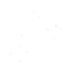 N#CC1(c2cnccn2)CCN(Cc2cc3c(c4ccccc24)CN([C@H]2CCCC[C@@H]2O)C3=O)CC1